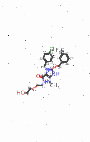 Cn1c2c(c(=O)n1CCOCCO)N(Cc1ccc(Cl)cc1)C(OCc1cccc(C(F)(F)F)c1)N2